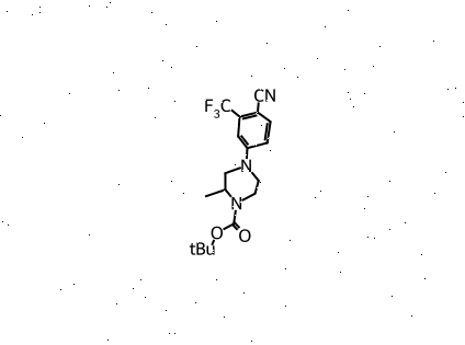 CC1CN(c2ccc(C#N)c(C(F)(F)F)c2)CCN1C(=O)OC(C)(C)C